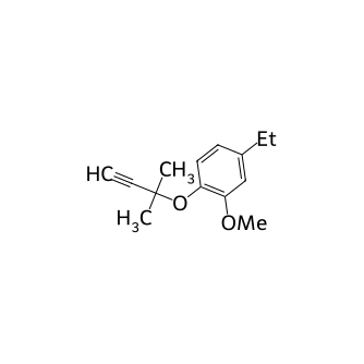 C#CC(C)(C)Oc1ccc(CC)cc1OC